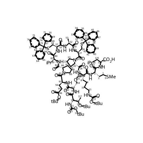 CSCC[C@H](NC(=O)[C@H](CCCCNC(=O)OC(C)(C)C)NC(=O)[C@@H]1CCCN1C(=O)[C@H](CSC(c1ccccc1)(c1ccccc1)c1ccccc1)NC(=O)[C@H](C)NC(=O)[C@H](CSC(c1ccccc1)(c1ccccc1)c1ccccc1)NC(=O)[C@@H](NC(=O)[C@@H]1CCCN1C(=O)[C@H](CCC(=O)OC(C)(C)C)NC(=O)[C@H](COC(C)(C)C)NC(=O)[C@@H](NC(=O)OC(C)(C)C)[C@@H](C)OC(C)(C)C)C(C)C)C(=O)N[C@@H](CC(C)C)C(=O)O